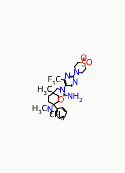 CN(C)[C@]1(c2ccccc2)CC[C@@](C)(CN(C(N)=O)c2cnc(N3CCS(=O)(=O)CC3)nc2C(F)(F)F)CC1